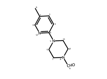 Cc1ccc(N2CCN(C=O)CC2)nc1